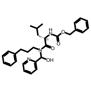 CC(C)C[C@H](NC(=O)OCc1ccccc1)C(=O)N(CCCc1ccccc1)C(O)c1ccccn1